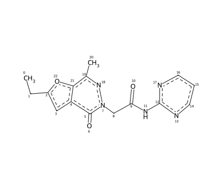 CCc1cc2c(=O)n(CC(=O)Nc3ncccn3)nc(C)c2o1